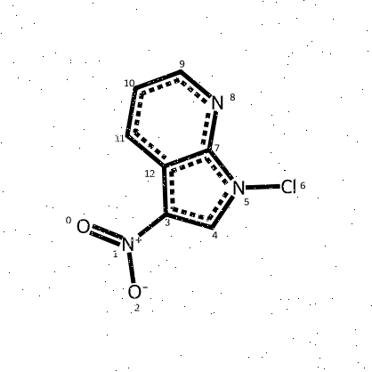 O=[N+]([O-])c1cn(Cl)c2ncccc12